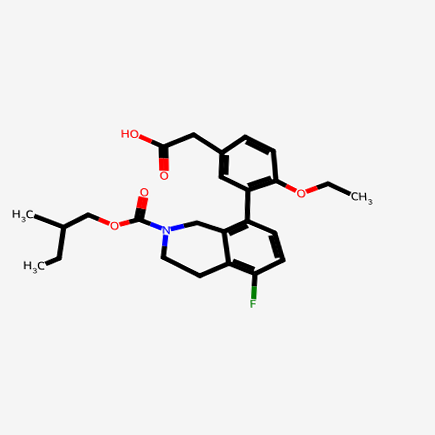 CCOc1ccc(CC(=O)O)cc1-c1ccc(F)c2c1CN(C(=O)OCC(C)CC)CC2